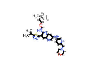 CC(C)c1nnc(-c2cc3ncc(Nc4ccc(CN5CCOCC5)nc4)cc3nc2NCOCC[Si](C)(C)C)s1